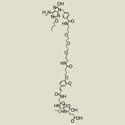 CCCCOc1nc(N)c2nc(O)n(Cc3ccc(C(=O)NCCCOCCOCCOCCCNC(=O)CCCOc4ccc(/C=C/C(=O)NCC(=O)N[C@H](C(=O)N[C@H](CCC(=O)O)C(=O)O)C(C)C)cc4OC)cc3)c2n1